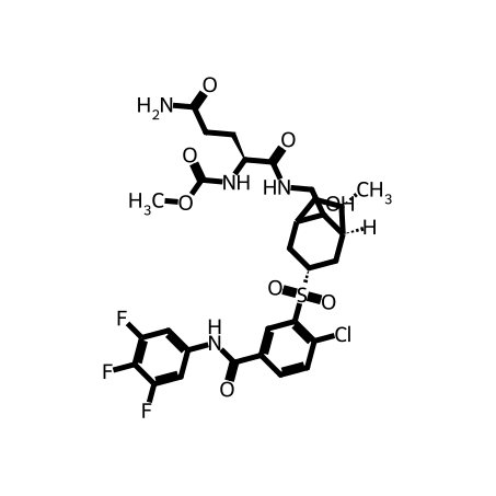 COC(=O)N[C@@H](CCC(N)=O)C(=O)NC[C@@]1(O)C2C[C@@H](S(=O)(=O)c3cc(C(=O)Nc4cc(F)c(F)c(F)c4)ccc3Cl)C[C@@H]1[C@@H](C)C2